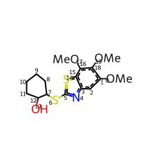 COc1cc2nc(SC3CCCCC3O)sc2c(OC)c1OC